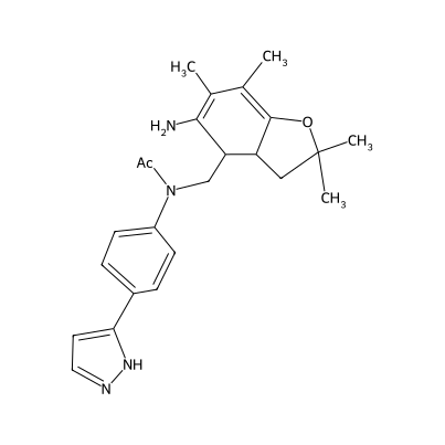 CC(=O)N(CC1C(N)=C(C)C(C)=C2OC(C)(C)CC21)c1ccc(-c2ccn[nH]2)cc1